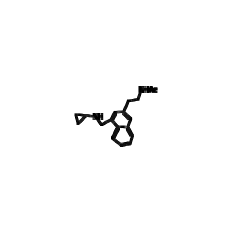 CC(=O)NCCc1cc(CNC2CC2)c2ccccc2c1